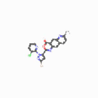 O=c1oc(-c2cc(Br)nn2-c2ncccc2Cl)nc2cc3ccc(C(F)(F)F)nc3cc12